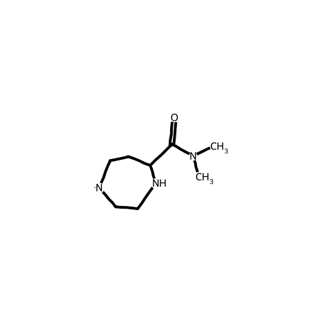 CN(C)C(=O)C1CC[N]CCN1